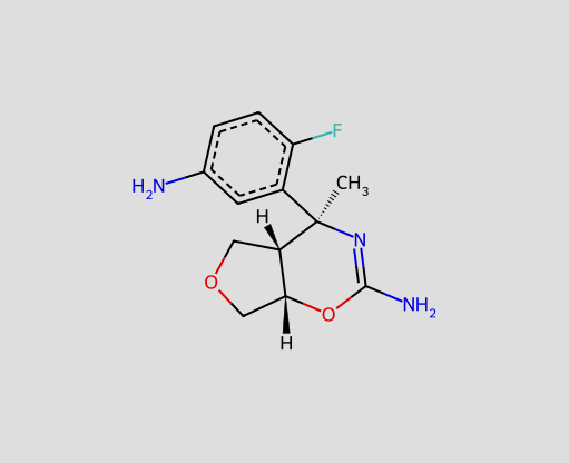 C[C@]1(c2cc(N)ccc2F)N=C(N)O[C@@H]2COC[C@@H]21